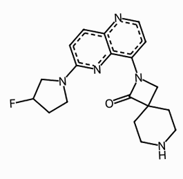 O=C1N(c2ccnc3ccc(N4CCC(F)C4)nc23)CC12CCNCC2